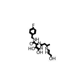 CC(Cc1nc(O)c(O)c(C(=O)NCc2ccc(F)cc2)n1)NCCCO